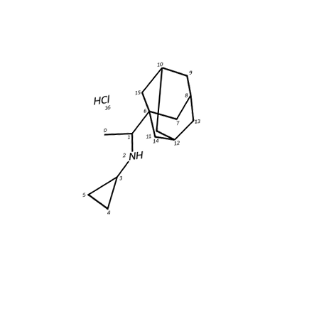 CC(NC1CC1)C12CC3CC(CC(C3)C1)C2.Cl